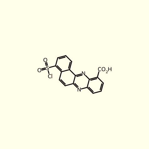 O=C(O)c1cccc2nc3ccc4c(S(=O)(=O)Cl)cccc4c3nc12